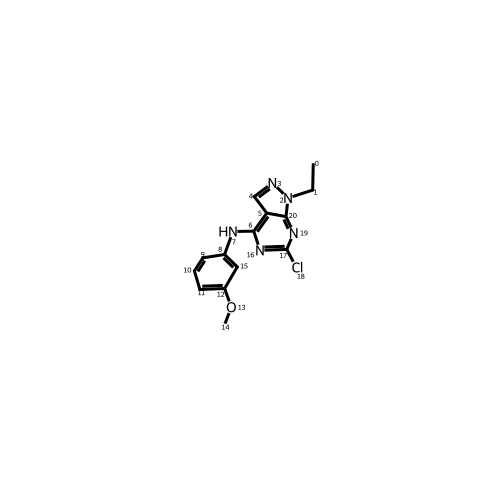 CCn1ncc2c(Nc3cccc(OC)c3)nc(Cl)nc21